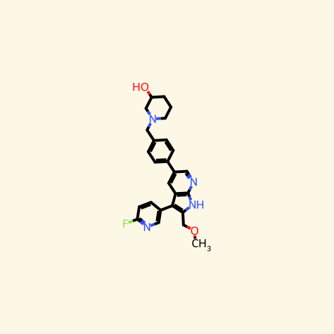 COCc1[nH]c2ncc(-c3ccc(CN4CCCC(O)C4)cc3)cc2c1-c1ccc(F)nc1